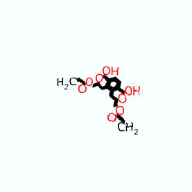 C=CC(=O)OCCCc1c(C(=O)O)ccc(C(=O)O)c1CCCOC(=O)C=C